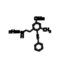 CCCCCCNCCc1cc(OC)cc(C)c1C#Cc1ccccc1